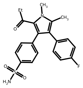 CCC(=O)c1c(-c2ccc(S(N)(=O)=O)cc2)c(-c2ccc(F)cc2)c(C)n1C